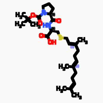 CC(C)=CCC/C(C)=C/CC/C(C)=C/CSC[C@H](NC(=O)[C@@H]1CCCN1C(=O)OC(C)(C)C)C(=O)O